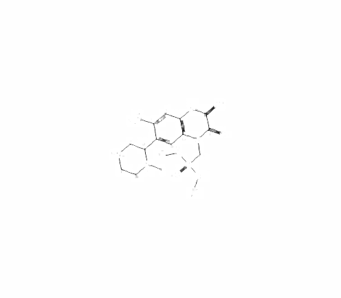 CCOP(=O)(Cn1c(=O)c(=O)[nH]c2cc([N+](=O)[O-])c(C3CNCCN3C)cc21)OCC